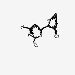 Clc1cc(-c2sccc2Cl)nc(Cl)n1